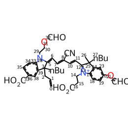 C=CCC1(CCCC)\C(=C/C=C(C#N)/C=C/C2=[N+](CCC(=O)O)c3ccc(OC=O)cc3C2(C)CCCC)N(CCOC=O)c2ccc(C(=O)O)cc21